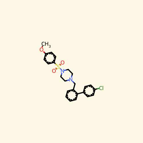 COc1ccc(S(=O)(=O)N2CCN(Cc3ccccc3-c3ccc(Cl)cc3)CC2)cc1